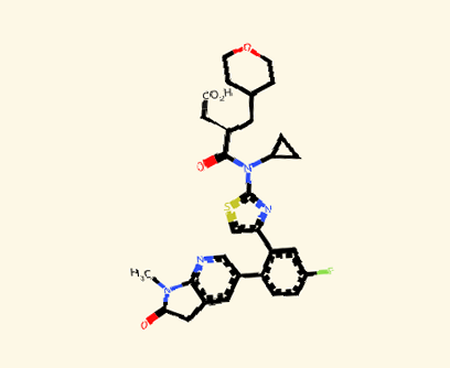 CN1C(=O)Cc2cc(-c3ccc(F)cc3-c3csc(N(C(=O)[C@@H](CC(=O)O)CC4CCOCC4)C4CC4)n3)cnc21